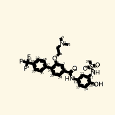 CN(C)CCOc1cc(C(=O)Nc2ccc(O)c(NS(C)(=O)=O)c2)ccc1-c1ccc(C(F)(F)F)cc1